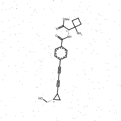 COC(=O)[C@@H](NC(=O)c1ccc(C#CC#CC2C[C@@H]2CO)cc1)C1(N)CCC1